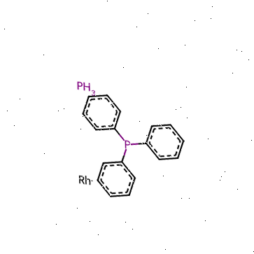 P.[Rh].c1ccc(P(c2ccccc2)c2ccccc2)cc1